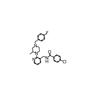 CC1CN(Cc2ccc(F)cc2)CCN1c1ncccc1CNC(=O)c1ccc(Cl)cc1